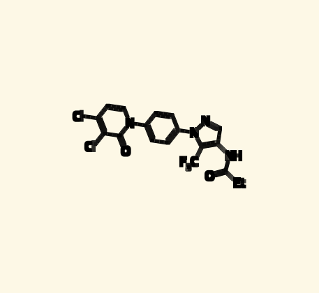 CCC(=O)Nc1cnn(-c2ccc(-n3ccc(Cl)c(Cl)c3=O)cc2)c1C(F)(F)F